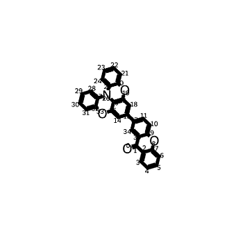 O=c1c2ccccc2oc2ccc(-c3cc4c5c(c3)Oc3ccccc3N5c3ccccc3O4)cc12